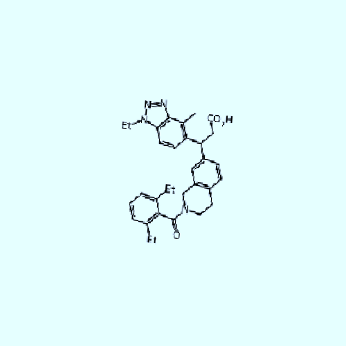 CCc1cccc(CC)c1C(=O)N1CCc2ccc(C(CC(=O)O)c3ccc4c(nnn4CC)c3C)cc2C1